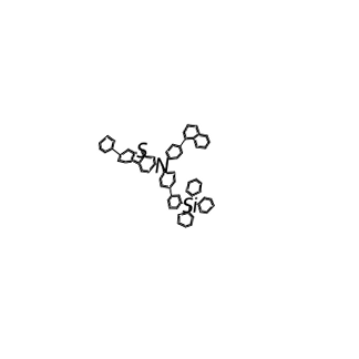 c1ccc(-c2ccc3c(c2)sc2cc(N(c4ccc(-c5cccc([Si](c6ccccc6)(c6ccccc6)c6ccccc6)c5)cc4)c4ccc(-c5cccc6ccccc56)cc4)ccc23)cc1